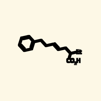 CCC(C/C=C/CCc1ccccc1)C(=O)O